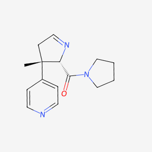 C[C@@]1(c2ccncc2)CC=N[C@@H]1C(=O)N1CCCC1